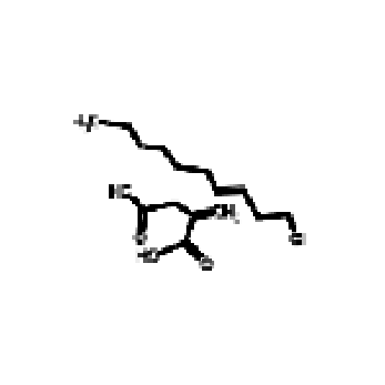 C=C(CC(=O)O)C(=O)O.CCCCCCC=CCCO